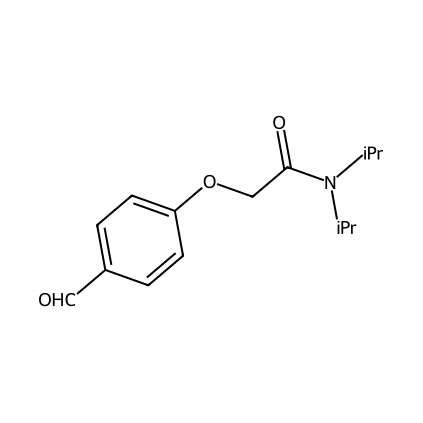 CC(C)N(C(=O)COc1ccc(C=O)cc1)C(C)C